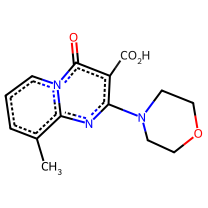 Cc1cccn2c(=O)c(C(=O)O)c(N3CCOCC3)nc12